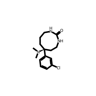 CN(C)[C@@]1(c2cccc(Cl)c2)CCCNC(=O)NCC1